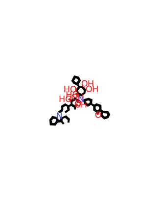 C/C=C\c1c(C)c2ccccc2n1/C=C/C=C\C(=C/C)C(=C(C)O)/C(O)=C(/O)C(=O)N(C1=C(O)C(O)=C(c2ccccc2)C(O)=C(O)C1)c1ccc(-c2ccc3c(c2)oc2ccccc23)cc1